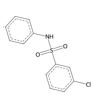 O=S(=O)(Nc1cc[c]cc1)c1cccc(Cl)c1